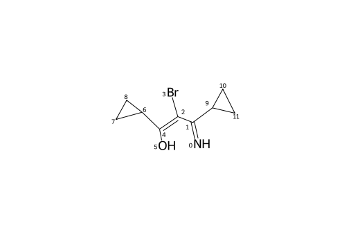 N=C(/C(Br)=C(\O)C1CC1)C1CC1